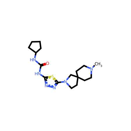 CN1CCC2(CC1)CCN(c1nnc(NC(=O)NC3CCCC3)s1)C2